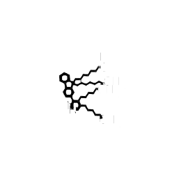 CCCCCCCCC1(CCCCCCCC)c2ccccc2-c2ccc(-c3nncc(CCCCCC)c3CCCCCC)cc21